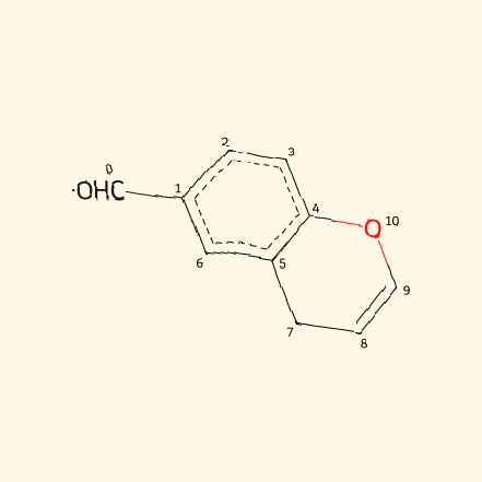 O=[C]c1ccc2c(c1)CC=CO2